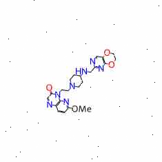 COc1ccc2ncc(=O)n(CCN3CCC(NCc4ncc5c(n4)OCCO5)CC3)c2n1